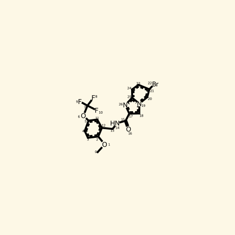 COc1ccc(OC(F)(F)F)cc1CNC(=O)c1cn2cc(Br)ccc2n1